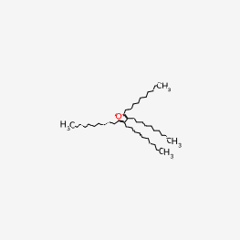 CCCCCCCCCCc1oc(CCCCCCCCCC)c(CCCCCCCCCC)c1CCCCCCCCCC